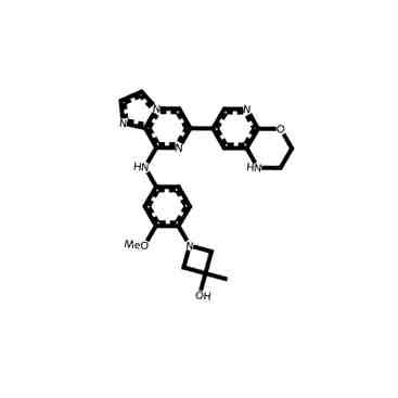 COc1cc(Nc2nc(-c3cnc4c(c3)NCCO4)cn3ccnc23)ccc1N1CC(C)(O)C1